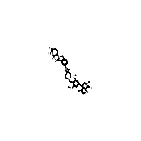 COc1cc(-c2cn(C)c(=O)c3[nH]cc(C)c23)cc(OC)c1CN1CCC2(CC1)CN(c1ccc3c(c1)C(=O)N(C1CCC(=O)NC1=O)C3)C2